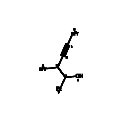 [CH2]CCC#CC(CCC)C(O)CC